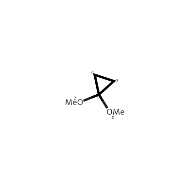 COC1(OC)CC1